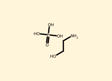 NCCO.O=P(O)(O)O